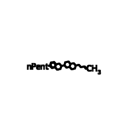 CC=CCCC1CCC2CC(C3CCc4cc(CCCCC)ccc4C3)CCC2C1